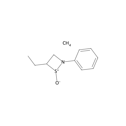 C.CCC1CN(c2ccccc2)[S+]1[O-]